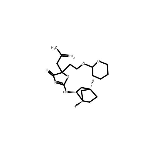 C=C(C)CC1(CCOC2CCCCO2)SC(N[C@H]2C[C@H]3CC[C@H]2C3)=NC1=O